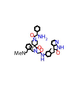 CCC1(C(=O)N(CC(=O)Nc2ccc3c(c2)C[C@@]2(C3)C(=O)Nc3ncccc32)Cc2ccccc2CNC)CCN(C(=O)[C@@H](N)c2ccccc2)CC1